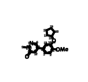 COc1ccc(-c2cnn(C)c(=O)c2)cc1OC1CCCC1